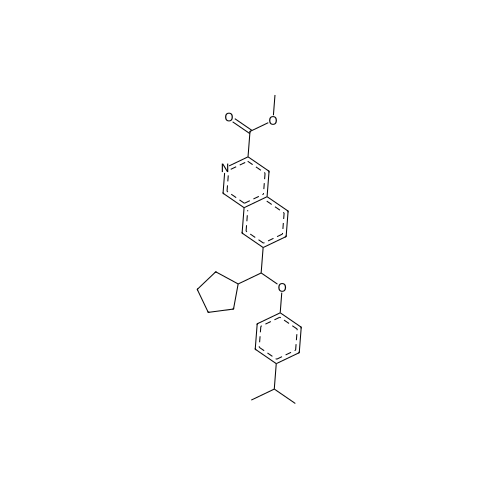 COC(=O)c1cc2ccc(C(Oc3ccc(C(C)C)cc3)C3CCCC3)cc2cn1